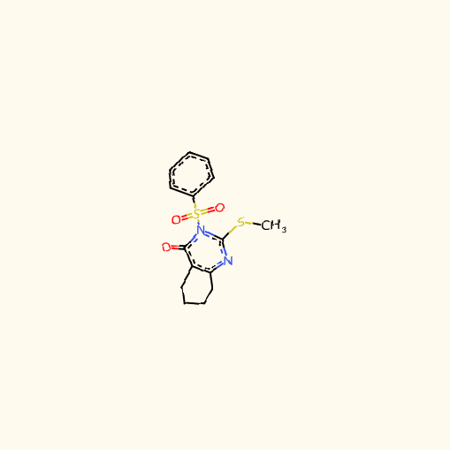 CSc1nc2c(c(=O)n1S(=O)(=O)c1ccccc1)CCCC2